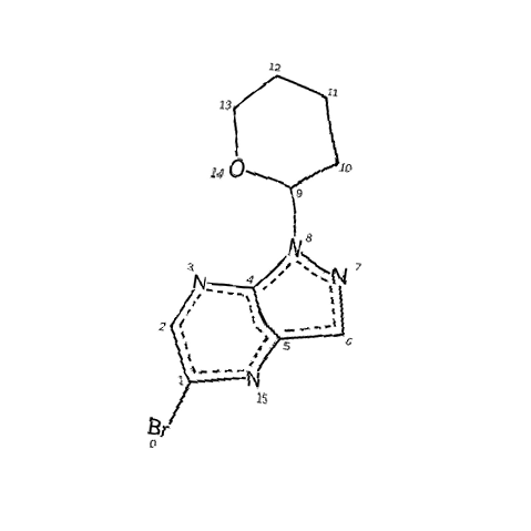 Brc1cnc2c(cnn2C2CCCCO2)n1